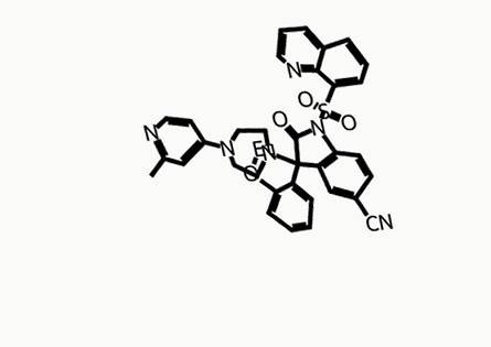 CCOc1ccccc1C1(N2CCN(c3ccnc(C)c3)CC2)C(=O)N(S(=O)(=O)c2cccc3cccnc23)c2ccc(C#N)cc21